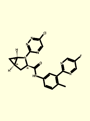 Cc1ccc(NC(=O)[C@H]2C[C@H]3C[C@H]3N2c2ncc(Cl)nn2)cc1-c1ncc(F)cn1